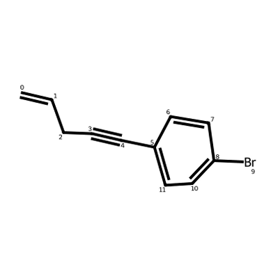 C=CCC#Cc1ccc(Br)cc1